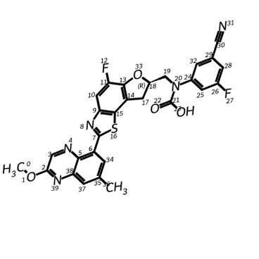 COc1cnc2c(-c3nc4cc(F)c5c(c4s3)C[C@H](CN(C(=O)O)c3cc(F)cc(C#N)c3)O5)cc(C)cc2n1